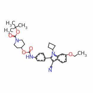 CCOc1ccc2c(C#N)c(-c3ccc(NC(=O)OC4CCN(C(=O)OC(C)(C)C)CC4)cc3)n(C3CCC3)c2c1